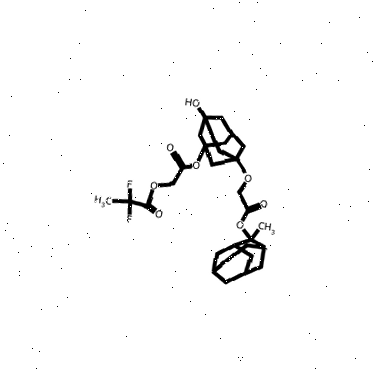 CC(F)(F)C(=O)OCC(=O)OC12CC3CC(O)(CC(OCC(=O)OC4(C)C5CC6CC(C5)CC4C6)(C3)C1)C2